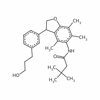 Cc1c(C)c2c(c(C)c1NC(=O)CC(C)(C)C)C(c1cccc(CCCO)c1)CO2